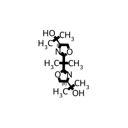 CC(C)(C1=N[C@@H](C(C)(C)O)CO1)C1=N[C@@H](C(C)(C)O)CO1